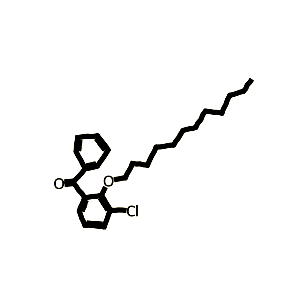 CCCCCCCCCCCCOc1c(Cl)cccc1C(=O)c1ccccc1